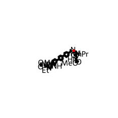 CCCN(Cc1ncc(-c2ccc(-c3ccc(-c4ccc5nc(CN(CC)C(=O)CNC(=O)OC)[nH]c5c4)cc3)cc2)[nH]1)C(=O)CNC(=O)OC